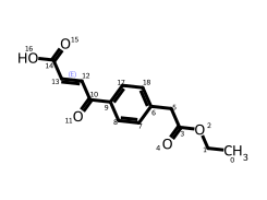 CCOC(=O)Cc1ccc(C(=O)/C=C/C(=O)O)cc1